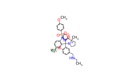 CCNCc1ccc(OC)c(C2(N3CCC[C@@]3(C)c3ncco3)C(=O)N(S(=O)(=O)c3ccc(OC)cc3)c3ccc(Cl)cc32)c1